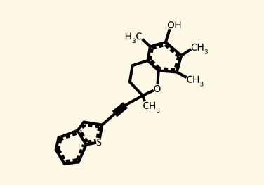 Cc1c(C)c2c(c(C)c1O)CCC(C)(C#Cc1cc3ccccc3s1)O2